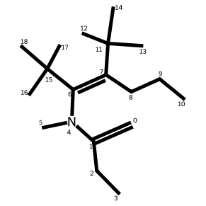 C=C(CC)N(C)/C(=C(\CCC)C(C)(C)C)C(C)(C)C